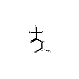 C[C@H](S)NC(=O)C(F)(F)F